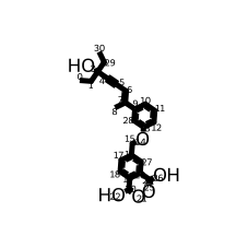 CCC(O)(C#C/C=C(\C)c1cccc(OCc2ccc(C(=O)O)c(C(=O)O)c2)c1)CC